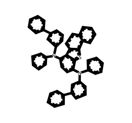 c1ccc(-c2cccc(N(c3ccccc3)c3ccc(N(c4ccccc4)c4cccc(-c5ccccc5)c4)c4c3sc3c5ccccc5ccc34)c2)cc1